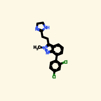 Cn1nc2c(-c3ccc(Cl)cc3Cl)cccc2c1CCC1=NCCN1